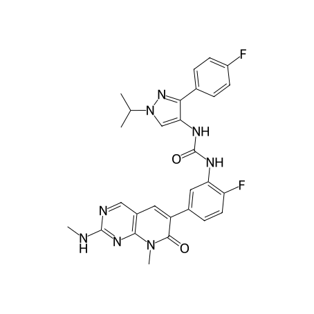 CNc1ncc2cc(-c3ccc(F)c(NC(=O)Nc4cn(C(C)C)nc4-c4ccc(F)cc4)c3)c(=O)n(C)c2n1